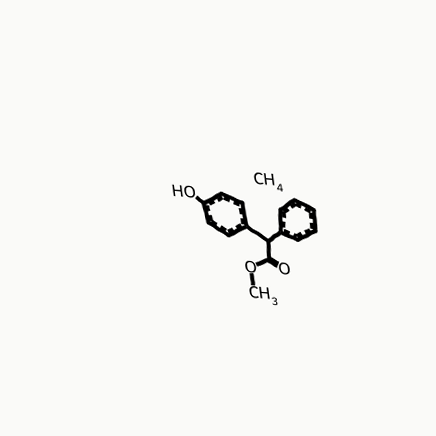 C.COC(=O)C(c1ccccc1)c1ccc(O)cc1